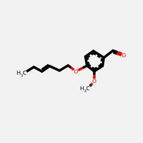 CC/C=C/CCOc1ccc(C=O)cc1OC